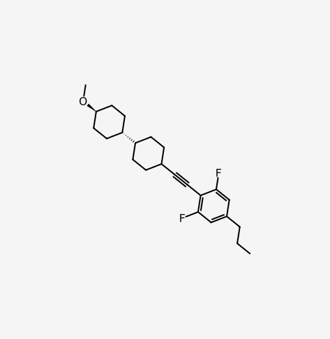 CCCc1cc(F)c(C#CC2CCC([C@H]3CC[C@H](OC)CC3)CC2)c(F)c1